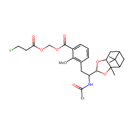 CCC(=O)NC(Cc1cccc(C(=O)OCOC(=O)CCF)c1OC)B1OC2CC3CC(C3(C)C)C2(C)O1